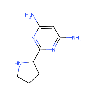 Nc1cc(N)nc(C2CCCN2)n1